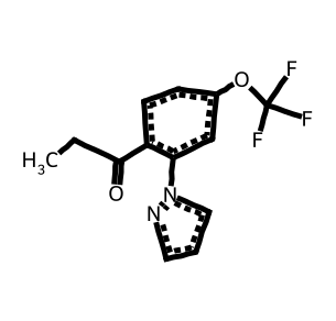 CCC(=O)c1ccc(OC(F)(F)F)cc1-n1cccn1